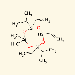 C=C[SiH]1O[Si](C=C)(C(C)C)O[Si](C)(C)O[Si](C=C)(C(C)C)O1